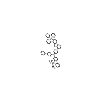 CC1(C)c2ccccc2-c2ccc(N(c3ccc(-c4ccccc4)cc3)c3ccc(-c4cccc5c4sc4c6c(ccc45)C(c4ccccc4)(c4ccccc4)c4ccccc4-6)cc3)cc21